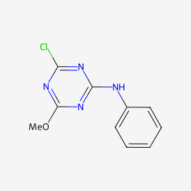 COc1nc(Cl)nc(Nc2ccccc2)n1